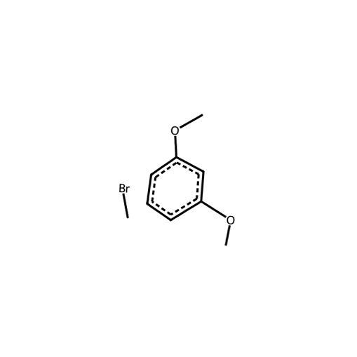 CBr.COc1cccc(OC)c1